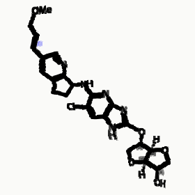 COC/C=C/c1cnc2c(c1)CCC2Nc1nc2nc(O[C@@H]3CO[C@H]4[C@@H]3OC[C@H]4O)[nH]c2cc1Cl